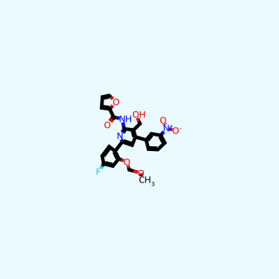 COCOc1cc(F)ccc1-c1cc(-c2cccc([N+](=O)[O-])c2)c(CO)c(NC(=O)c2ccco2)n1